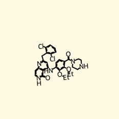 CCOc1c(Nc2cc(Cc3c(Cl)cccc3Cl)nc3cc[nH]c(=O)c23)ccc(C(=O)N2CCNCC2)c1OCC